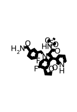 CS(=O)(=O)NC(=O)c1c(-c2ccc[nH]c2=O)c2c3occc3c(F)cc2n1Cc1cc(C(N)=O)ccc1F